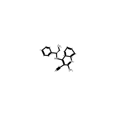 CC[C@@H](Nc1c(C#N)c(N)nc2ccccc12)c1ccccc1